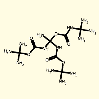 NC(N)(N)NC(=O)OC(N)(NC(=O)OC(N)(N)N)NC(=O)OC(N)(N)N